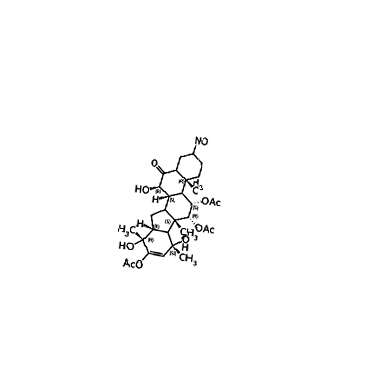 CC(=O)OC1=C[C@@](C)(O)C2[C@@H](CC3[C@H]4C([C@H](OC(C)=O)[C@H](OC(C)=O)[C@@]32C)[C@@]2(C)CCC(N=O)CC2C(=O)[C@@H]4O)[C@@]1(C)O